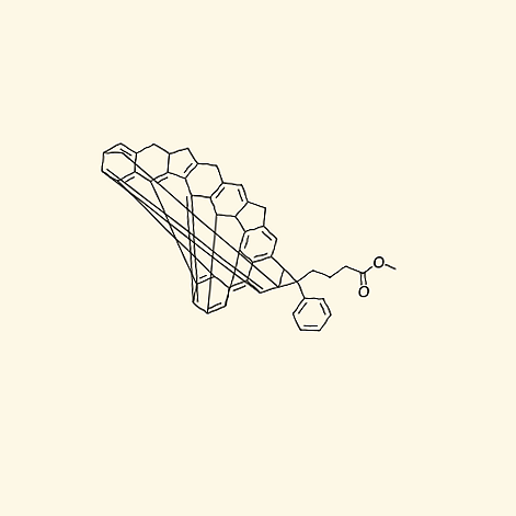 COC(=O)CCCC1(c2ccccc2)C2c3cc4c5c6c3c3c7c8c9c%10c%11c%12c%13c%14c%15c(c6c3c9c%11%15)C3C%14=C(C=C(C4)C53)CC=%13CC%12CC%10=CC8CC721